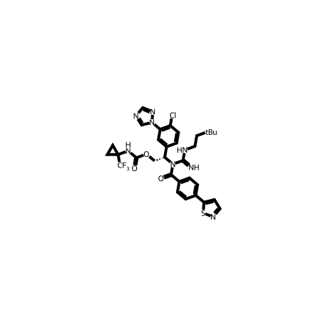 CC(C)(C)CCNC(=N)N(C(=O)c1ccc(-c2ccns2)cc1)[C@H](COC(=O)NC1(C(F)(F)F)CC1)c1ccc(Cl)c(-n2cncn2)c1